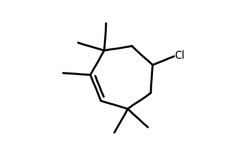 CC1=CC(C)(C)CC(Cl)CC1(C)C